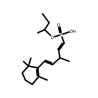 CCC(C)OP(=O)(O)C=CC(C)C=CC1=C(C)CCCC1(C)C